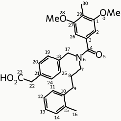 COc1cc(C(=O)N(CCCc2ccccc2C)Cc2ccc(CC(=O)O)cc2)cc(OC)c1C